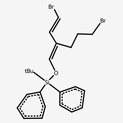 CC(C)(C)[Si](OC=C(C=CBr)CCCBr)(c1ccccc1)c1ccccc1